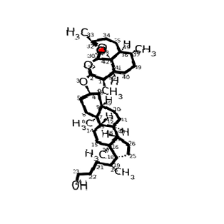 C[C@H]1[C@@H](O[C@@H]2CC[C@@]3(C)[C@H](CC[C@@H]4[C@@H]3CC[C@]3(C)[C@@H]([C@H](C)CCCO)CC[C@@H]43)C2)OC2O[C@@]3(C)CC[C@H]4[C@H](C)CC[C@@H]1[C@@]24OO3